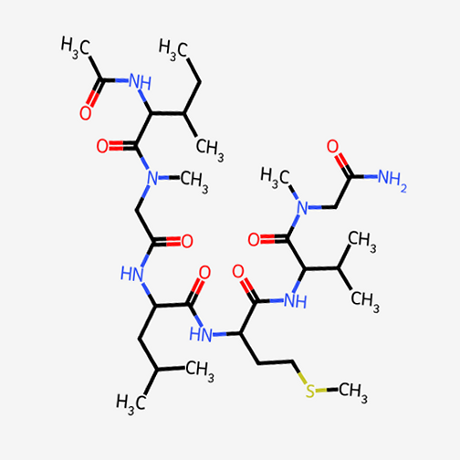 CCC(C)C(NC(C)=O)C(=O)N(C)CC(=O)NC(CC(C)C)C(=O)NC(CCSC)C(=O)NC(C(=O)N(C)CC(N)=O)C(C)C